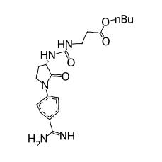 CCCCOC(=O)CCNC(=O)N[C@H]1CCN(c2ccc(C(=N)N)cc2)C1=O